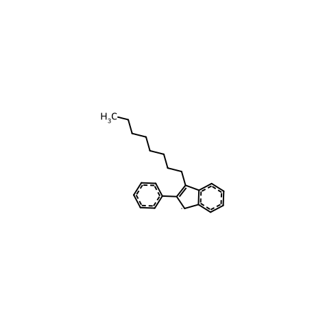 CCCCCCCCC1=C(c2ccccc2)[CH]c2ccccc21